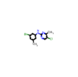 Cc1cc(Br)cc(Nc2ncc(Cl)c(C)n2)c1